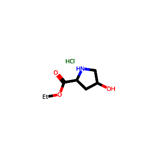 CCOC(=O)C1CC(O)CN1.Cl